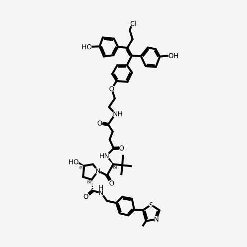 Cc1ncsc1-c1ccc(CNC(=O)[C@@H]2C[C@@H](O)CN2C(=O)[C@@H](NC(=O)CCC(=O)NCCOc2ccc(C(=C(CCCl)c3ccc(O)cc3)c3ccc(O)cc3)cc2)C(C)(C)C)cc1